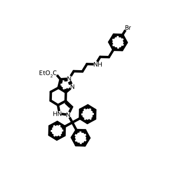 CCOC(=O)c1c2c(nn1CCCNCCc1ccc(Br)cc1)C1=CN(C(c3ccccc3)(c3ccccc3)c3ccccc3)NC1CC2